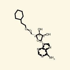 Nc1ncnc2c1ncn2[C@@H]1O[C@H](COOCCC2CCCCC2)[C@@H](O)[C@H]1O